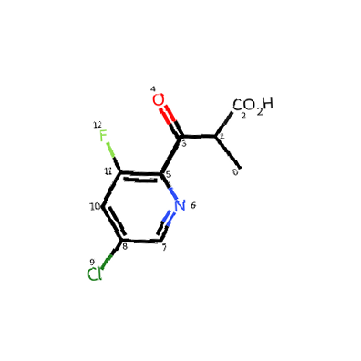 CC(C(=O)O)C(=O)c1ncc(Cl)cc1F